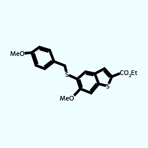 CCOC(=O)c1cc2cc(SCc3ccc(OC)cc3)c(OC)cc2s1